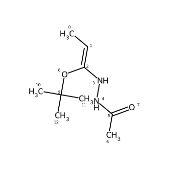 CC=C(NNC(C)=O)OC(C)(C)C